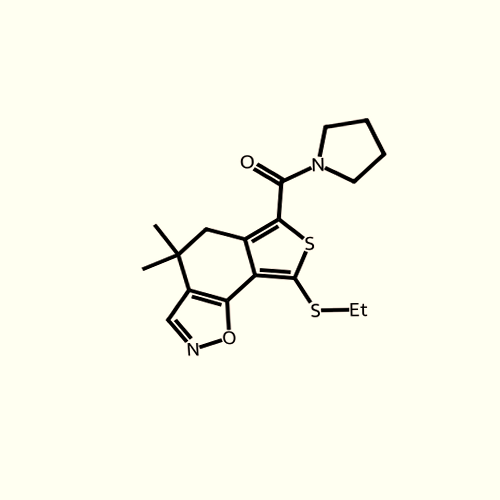 CCSc1sc(C(=O)N2CCCC2)c2c1-c1oncc1C(C)(C)C2